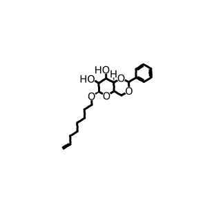 C=CCCCCCCO[C@@H]1OC2COC(c3ccccc3)O[C@@H]2C(O)C1O